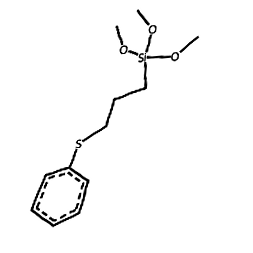 CO[Si](CCCSc1ccccc1)(OC)OC